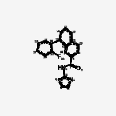 O=C(Nc1nccs1)c1ccc2cccc(-c3ccccc3F)c2n1